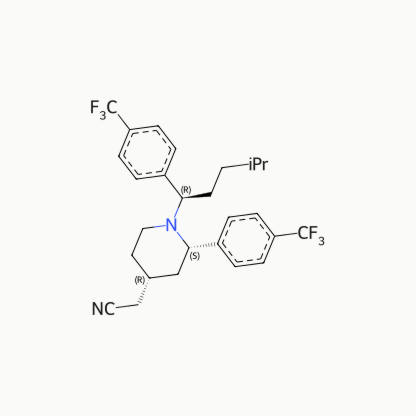 CC(C)CC[C@H](c1ccc(C(F)(F)F)cc1)N1CC[C@@H](CC#N)C[C@H]1c1ccc(C(F)(F)F)cc1